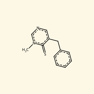 Cn1cncc(Cc2ccccc2)c1=S